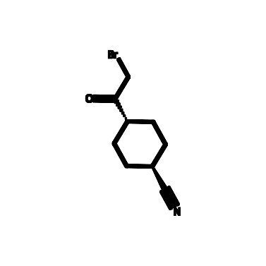 N#C[C@H]1CC[C@H](C(=O)CBr)CC1